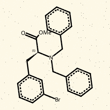 COC(=O)[C@H](Cc1cccc(Br)c1)N(Cc1ccccc1)Cc1ccccc1